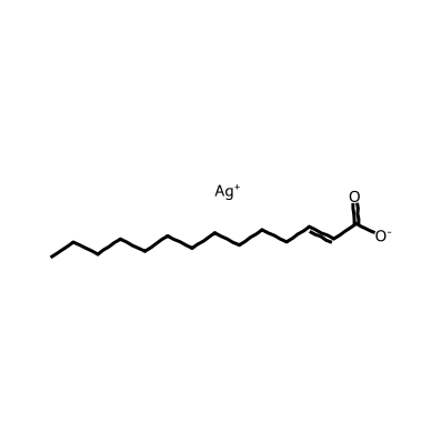 CCCCCCCCCCCC=CC(=O)[O-].[Ag+]